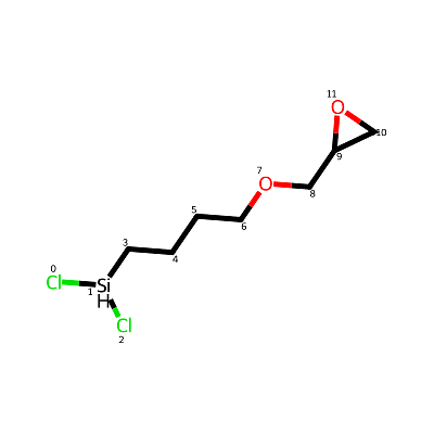 Cl[SiH](Cl)CCCCOCC1CO1